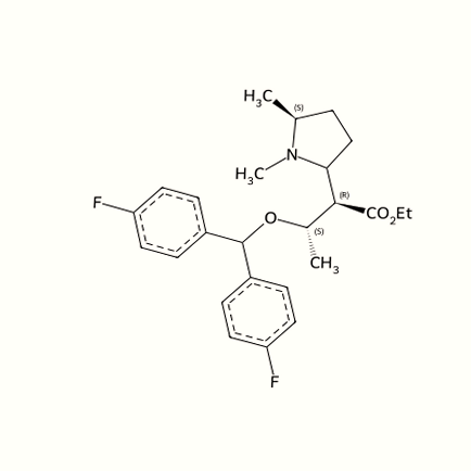 CCOC(=O)[C@H](C1CC[C@H](C)N1C)[C@H](C)OC(c1ccc(F)cc1)c1ccc(F)cc1